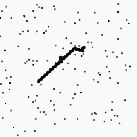 CCCCCCCCCCCCCCCCOC(=O)CCCCCCC/C=C\CCCC(C)CC